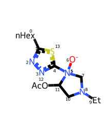 CCCCCCc1nnc([N+]2([O-])CN(CC)CC2OC(C)=O)s1